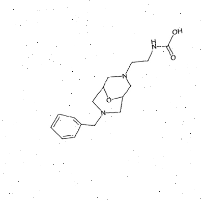 O=C(O)NCCN1CC2CN(Cc3ccccc3)CC(C1)O2